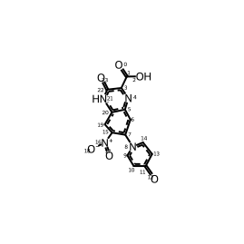 O=C(O)c1nc2cc(-n3ccc(=O)cc3)c([N+](=O)[O-])cc2[nH]c1=O